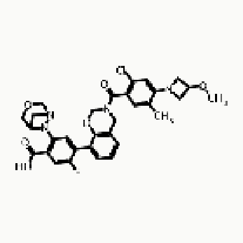 COC1CN(c2cc(Cl)c(C(=O)N3COc4c(cccc4-c4cc(N5C6COCN5C6)c(C(=O)O)cc4F)C3)cc2C)C1